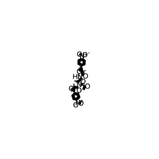 CC(=O)[C@@H]1O[C@H](NC(=O)[C@@]2(C)O[C@@H]2c2ccc([N+](=O)[O-])cc2)[C@H](C)N1C(=O)[C@@]1(C)O[C@@H]1c1ccc([N+](=O)[O-])cc1